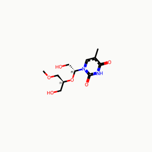 COC[C@H](CO)O[C@H](CO)n1cc(C)c(=O)[nH]c1=O